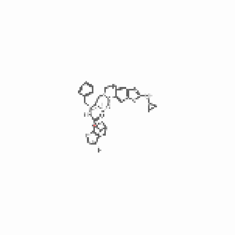 CC(C)CN(C[C@@H](O)[C@H](Cc1ccccc1)NC(=O)OC1C2COC3OC[C@@H]1C3C2)[S+]([O-])c1ccc2nc(NC3CC3)sc2c1